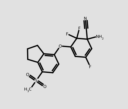 CS(=O)(=O)c1ccc(OC2=CC(F)=CC(N)(C#N)C2(F)F)c2c1CCC2